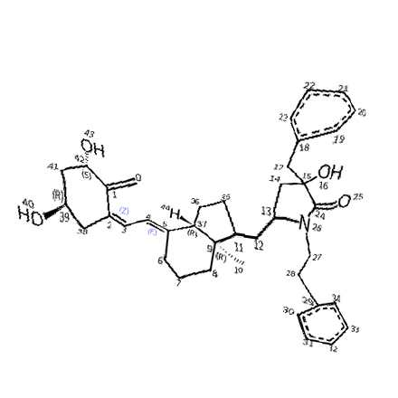 C=C1/C(=C\C=C2/CCC[C@]3(C)C(CC4CC(O)(Cc5ccccc5)C(=O)N4CCc4ccccc4)CC[C@@H]23)C[C@@H](O)C[C@@H]1O